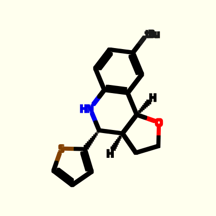 CC(C)(C)c1ccc2c(c1)[C@H]1OCC[C@H]1[C@H](c1cccs1)N2